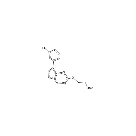 COCCOc1ncc2ccc(-c3cccc(Cl)c3)n2n1